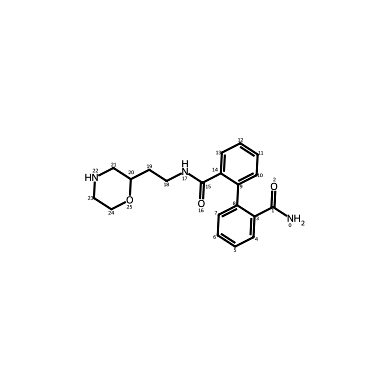 NC(=O)c1ccccc1-c1ccccc1C(=O)NCCC1CNCCO1